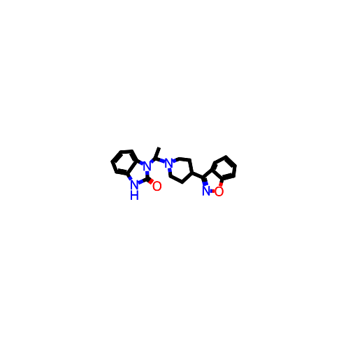 CC(N1CCC(c2noc3ccccc23)CC1)n1c(=O)[nH]c2ccccc21